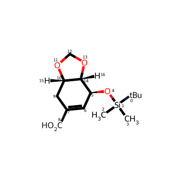 CC(C)(C)[Si](C)(C)O[C@H]1C=C(C(=O)O)C[C@@H]2OCO[C@H]12